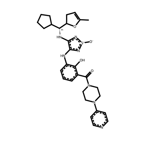 CC1=CCC([C@H](Nc2n[s+]([O-])nc2Nc2cccc(C(=O)N3CCN(c4ccncc4)CC3)c2O)C2CCCC2)O1